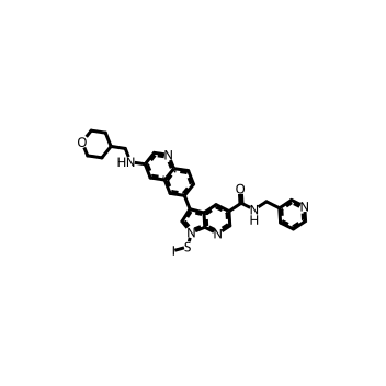 O=C(NCc1cccnc1)c1cnc2c(c1)c(-c1ccc3ncc(NCC4CCOCC4)cc3c1)cn2SI